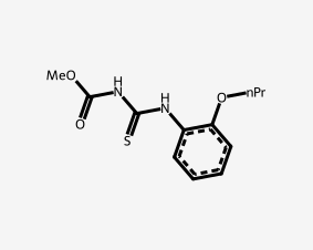 CCCOc1ccccc1NC(=S)NC(=O)OC